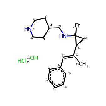 CCC1(NCC2CCNCC2)CC1C(C)=Cc1ccccc1.Cl.Cl